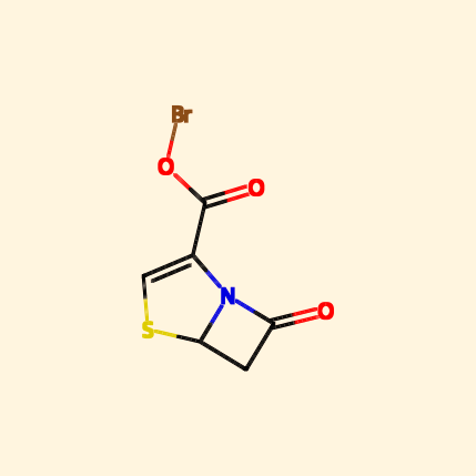 O=C(OBr)C1=CSC2CC(=O)N12